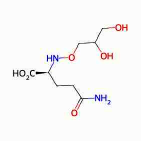 NC(=O)CC[C@H](NOCC(O)CO)C(=O)O